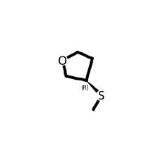 CS[C@@H]1CCOC1